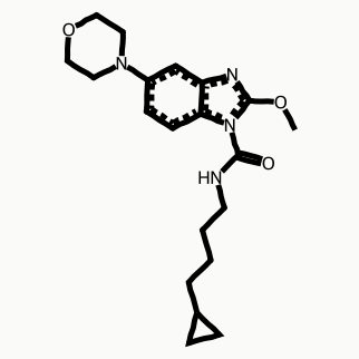 COc1nc2cc(N3CCOCC3)ccc2n1C(=O)NCCCCC1CC1